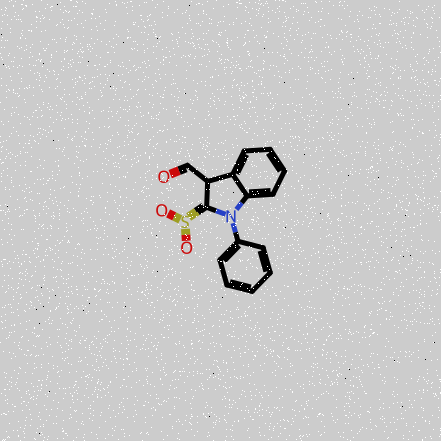 O=CC1C(=S(=O)=O)N(c2ccccc2)c2ccccc21